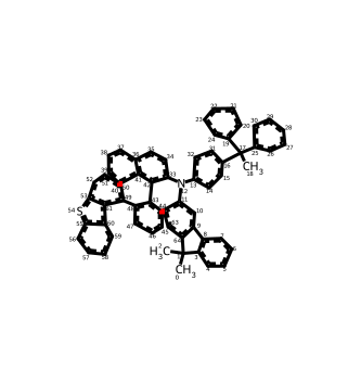 CC1(C)c2ccccc2-c2cc(N(c3ccc(C(C)(c4ccccc4)c4ccccc4)cc3)c3ccc4ccccc4c3-c3ccccc3-c3cccc4sc5ccccc5c34)ccc21